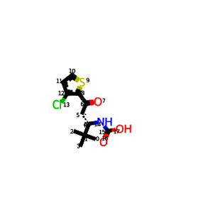 CC(C)(C)[C@H]([CH]C(=O)c1sccc1Cl)NC(=O)O